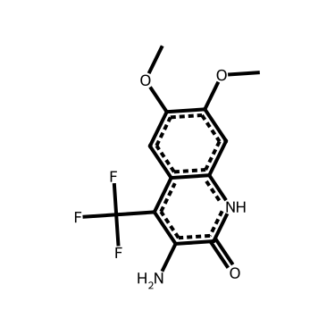 COc1cc2[nH]c(=O)c(N)c(C(F)(F)F)c2cc1OC